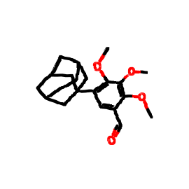 COc1c(C=O)cc(C23CC4CC(CC(C4)C2)C3)c(OC)c1OC